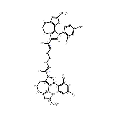 O=S(=O)(O)c1cc2c(s1)-c1c(c(/C(F)=C/CCC/C=C(\F)c3nn(-c4ccc(Cl)cc4Cl)c4c3CCOc3cc(S(=O)(=O)O)sc3-4)nn1-c1ccc(Cl)cc1Cl)CCO2